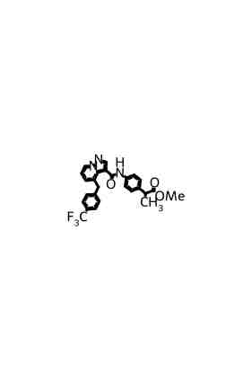 COC(=O)C(C)c1ccc(NC(=O)c2cnn3cccc(Cc4ccc(C(F)(F)F)cc4)c23)cc1